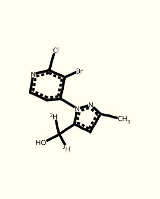 [2H]C([2H])(O)c1cc(C)nn1-c1ccnc(Cl)c1Br